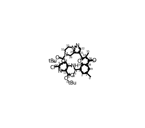 Cc1cc([C@@H](C)Nc2ccc(Cl)nc2C(=O)OC(C)(C)C)c2oc(-c3cnn4c3CN(C(=O)OC(C)(C)C)CC4)c(C)c(=O)c2c1